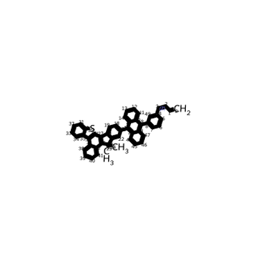 C=C/C=C\c1cccc(-c2c3ccccc3c(-c3ccc4c(c3)C(C)(C)c3c-4c4sc5ccccc5c4c4ccccc34)c3ccccc23)c1